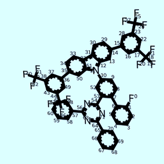 Fc1ccccc1-c1ccc(-n2c3cc(-c4cc(C(F)(F)F)cc(C(F)(F)F)c4)ccc3c3ccc(-c4cc(C(F)(F)F)cc(C(F)(F)F)c4)cc32)cc1-c1nc(-c2ccccc2)nc(-c2ccccc2)n1